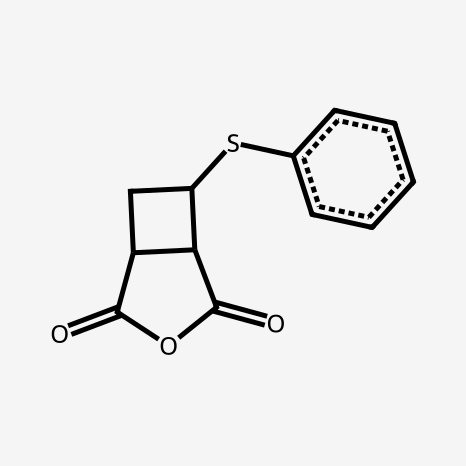 O=C1OC(=O)C2C(Sc3ccccc3)CC12